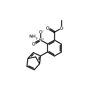 COC(=O)c1cccc(C2=C3C=CC(=C2)C3)c1[N+](=O)[O-].N